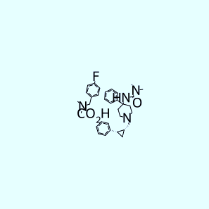 CN(C)C(=O)NC1(c2ccccc2)CCN(C[C@@H]2C[C@@H]2c2ccccc2)CC1.CN(Cc1ccc(F)cc1)C(=O)O